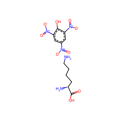 NCCCC[C@H](N)C(=O)O.O=[N+]([O-])c1cc([N+](=O)[O-])c(O)c([N+](=O)[O-])c1